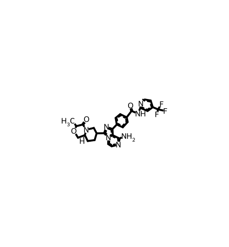 CC1OC[C@@H]2CCC(c3nc(-c4ccc(C(=O)Nc5cc(C(F)(F)F)ccn5)cc4)c4c(N)nccn34)CN2C1=O